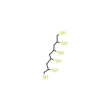 SCC(S)CC(S)CC(S)CC(S)CS